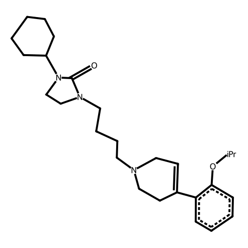 CC(C)Oc1ccccc1C1=CCN(CCCCN2CCN(C3CCCCC3)C2=O)CC1